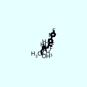 CC(C)(CO)Cc1c[nH]c(CC(O)(c2ccc(-c3ccc(F)cn3)cc2)C(F)F)n1